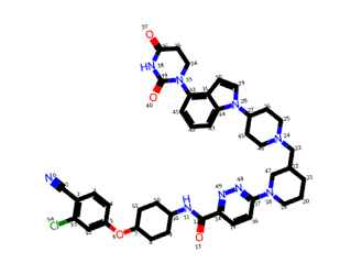 N#Cc1ccc(OC2CCC(NC(=O)c3ccc(N4CCCC(CN5CCC(n6ccc7c(N8CCC(=O)NC8=O)cccc76)CC5)C4)nn3)CC2)cc1Cl